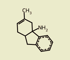 CC1=CCC2Cc3ccccc3C2(N)C1